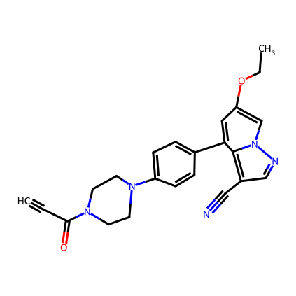 C#CC(=O)N1CCN(c2ccc(-c3cc(OCC)cn4ncc(C#N)c34)cc2)CC1